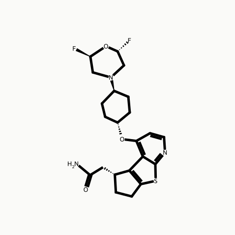 NC(=O)C[C@H]1CCc2sc3nccc(O[C@H]4CC[C@H](N5C[C@@H](F)O[C@H](F)C5)CC4)c3c21